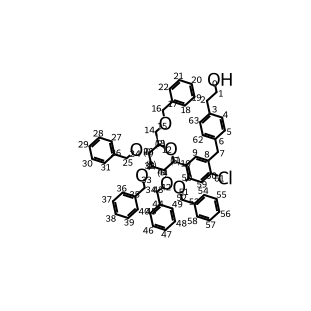 OCCc1ccc(Cc2cc([C@@H]3O[C@H](COCc4ccccc4)[C@@H](OCc4ccccc4)[C@H](OCc4ccccc4)[C@H]3OCc3ccccc3)c(OCc3ccccc3)cc2Cl)cc1